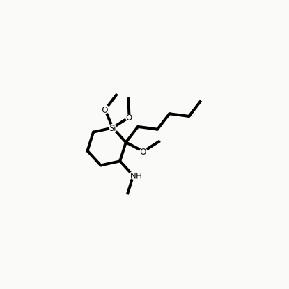 CCCCCC1(OC)C(NC)CCC[Si]1(OC)OC